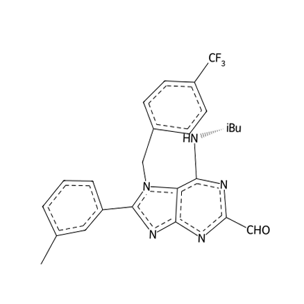 CC[C@@H](C)Nc1nc(C=O)nc2nc(-c3cccc(C)c3)n(Cc3ccc(C(F)(F)F)cc3)c12